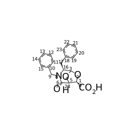 O=C(O)[C@@H]1OC2O[C@@H]1C(=O)N(Cc1ccccc1)[C@H]2Cc1ccccc1